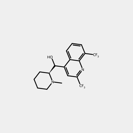 CN1CCCC[C@H]1C(O)c1cc(C(F)(F)F)nc2c(C(F)(F)F)cccc12